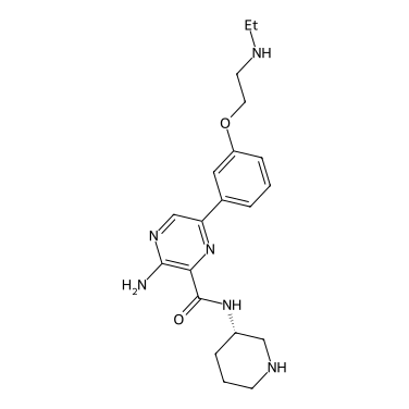 CCNCCOc1cccc(-c2cnc(N)c(C(=O)N[C@H]3CCCNC3)n2)c1